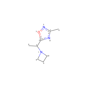 Cc1noc(C(C)N2CCC2)n1